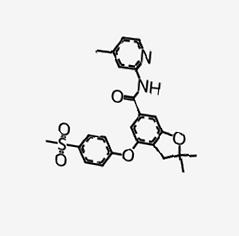 Cc1ccnc(NC(=O)c2cc(Oc3ccc(S(C)(=O)=O)cc3)c3c(c2)OC(C)(C)C3)c1